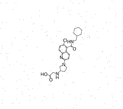 O=C(O)CNC1CCN(c2ccc3c(C(=O)NCC4CCCCC4)c(Cl)ccc3n2)C1